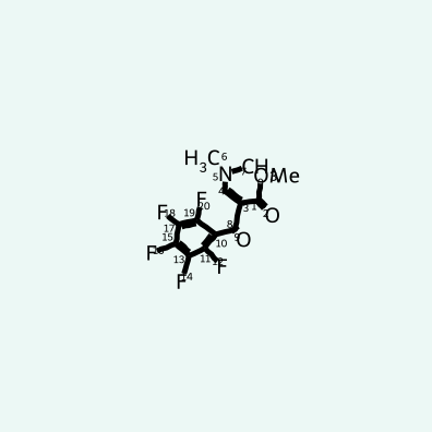 COC(=O)C(=CN(C)C)C(=O)c1c(F)c(F)c(F)c(F)c1F